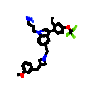 CCc1cc(OC(F)(F)F)ccc1-c1cn(CCCN)c2ccc(CN3CC(Cc4cccc(OC)c4)C3)cc12